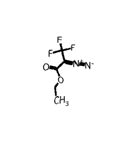 CCOC(=O)C(=[N+]=[N-])C(F)(F)F